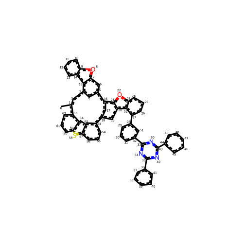 Cc1cc2cc(cc3oc4ccccc4c23)c2cc(cc3c2oc2cccc(-c4cccc(-c5nc(-c6ccccc6)nc(-c6ccccc6)n5)c4)c23)c2cccc3sc4cccc1c4c32